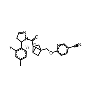 Cc1ccc(C2CC=NN2C(=O)[C@H]2CC3(COc4ccc(C#N)cn4)CC2C3)c(F)c1